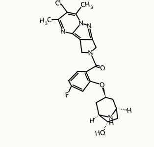 Cc1nc2c3c(nn2c(C)c1Cl)CN(C(=O)c1ccc(F)cc1O[C@H]1C[C@H]2C[C@H](O)[C@@H](C1)N2)C3